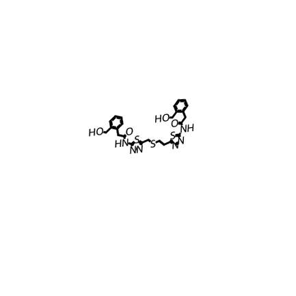 O=C(Cc1ccccc1CO)Nc1nnc(CCSCc2nnc(NC(=O)Cc3ccccc3CO)s2)s1